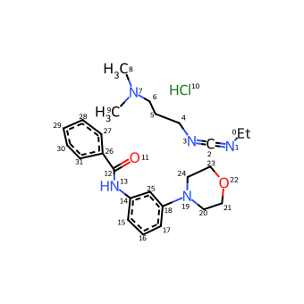 CCN=C=NCCCN(C)C.Cl.O=C(Nc1cccc(N2CCOCC2)c1)c1ccccc1